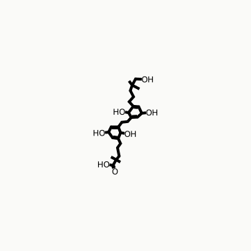 CC(C)(CO)CCCC1=CC(O)C=C(CCC2=CC(O)C=C(CCCC(C)(C)C(=O)O)C2O)C1O